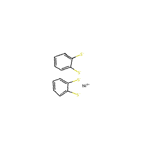 [Ni+4].[S-]c1ccccc1[S-].[S-]c1ccccc1[S-]